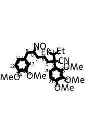 CCC(CC)C(C#N)(CCCC(Cc1ccc(OC)c(OC)c1)[N+](=O)[O-])c1ccc(OC)c(OC)c1OC